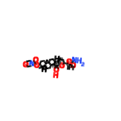 CC(C)C(OC(N)=O)C1C[C@@H](C)[C@H]2C(O1)[C@H](O)[C@@]1(C)C3CC[C@H]4C(C)(C)C(OC(=O)N5CCOCC5)CCC45CC35CCC21C